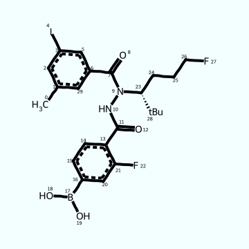 Cc1cc(I)cc(C(=O)N(NC(=O)c2ccc(B(O)O)cc2F)[C@H](CCCF)C(C)(C)C)c1